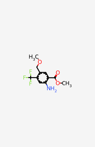 COCc1cc(C(=O)OC)c(N)cc1C(F)(F)F